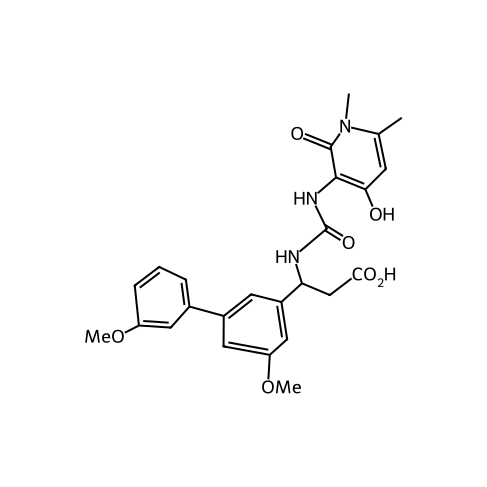 COc1cccc(-c2cc(OC)cc(C(CC(=O)O)NC(=O)Nc3c(O)cc(C)n(C)c3=O)c2)c1